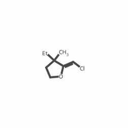 CCC1(C)CCOC1=CCl